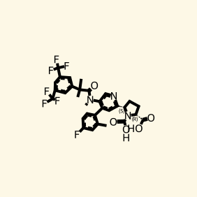 Cc1cc(F)ccc1-c1cc([C@@H]2CC[C@H](C(=O)O)N2C(=O)O)ncc1N(C)C(=O)C(C)(C)c1cc(C(F)(F)F)cc(C(F)(F)F)c1